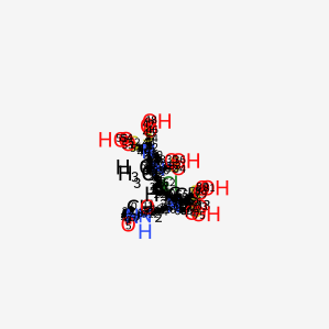 C=C1C=CC(=O)N1CCNC(=O)CCCCCN1/C(=C/C=C2\CCCC(/C=C/C3=[N+](CCCS(=O)(=O)O)c4ccc(N(CCCSOOO)CCCSOOO)cc4C3(C)C)=C2Cl)C(C)(C)c2c1ccc1c(S(=O)(=O)O)cc(SOOO)cc21